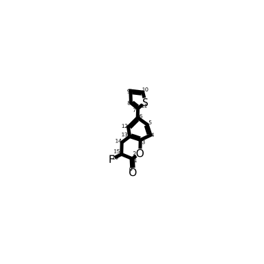 O=C1Oc2ccc(-c3cccs3)cc2CC1F